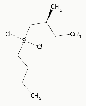 CCCC[Si](Cl)(Cl)C[C@@H](C)CC